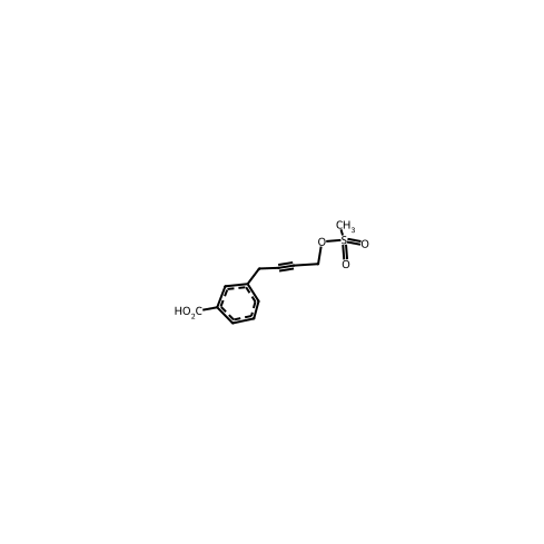 CS(=O)(=O)OCC#CCc1cccc(C(=O)O)c1